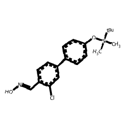 CC(C)(C)[Si](C)(C)Oc1ccc(-c2ccc(/C=N/O)c(Cl)c2)cc1